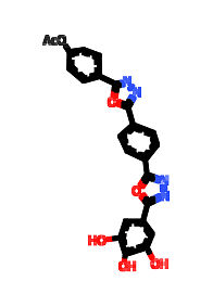 CC(=O)Oc1ccc(-c2nnc(-c3ccc(-c4nnc(-c5cc(O)c(O)c(O)c5)o4)cc3)o2)cc1